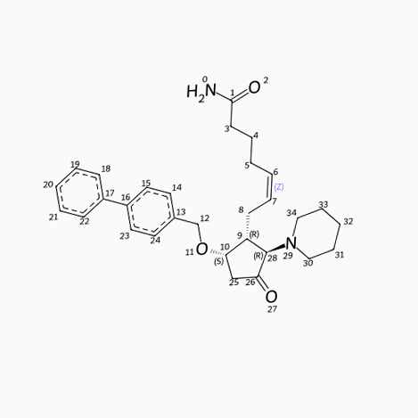 NC(=O)CCC/C=C\C[C@H]1[C@@H](OCc2ccc(-c3ccccc3)cc2)CC(=O)[C@@H]1N1CCCCC1